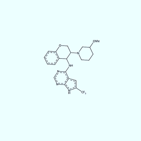 COC1CCCN(C2COc3ccccc3C2Nc2ncnc3[nH]c(C(F)(F)F)cc23)C1